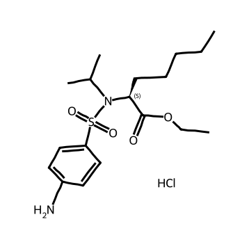 CCCCC[C@@H](C(=O)OCC)N(C(C)C)S(=O)(=O)c1ccc(N)cc1.Cl